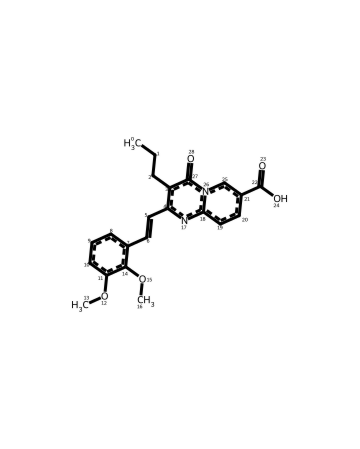 CCCc1c(C=Cc2cccc(OC)c2OC)nc2ccc(C(=O)O)cn2c1=O